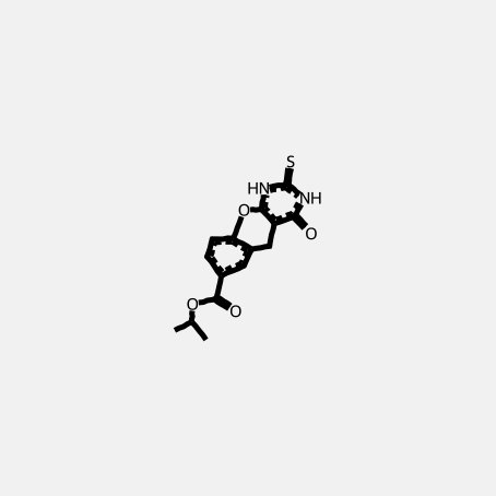 CC(C)OC(=O)c1ccc2c(c1)Cc1c([nH]c(=S)[nH]c1=O)O2